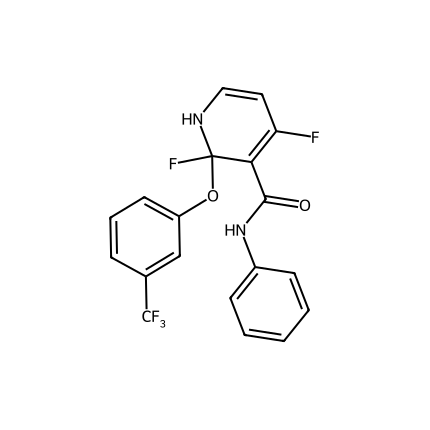 O=C(Nc1ccccc1)C1=C(F)C=CNC1(F)Oc1cccc(C(F)(F)F)c1